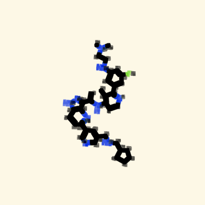 C=C(Nc1ccnc(-c2cc(F)cc(NCCN(C)C)c2)c1C)c1n[nH]c2ccc(-c3cncc(CNCC4CCCC4)c3)nc12